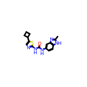 Cc1nc2cc(NC(=O)Nc3ncc(C4CCC4)s3)ccc2[nH]1